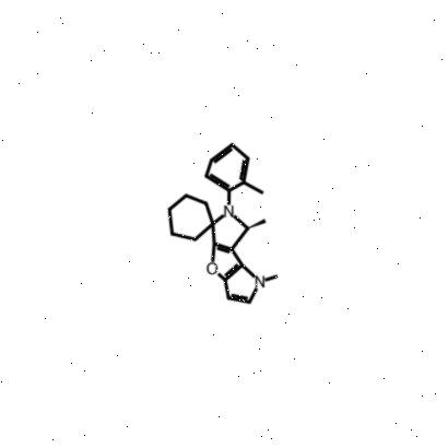 Cc1ccccc1N1[C@@H](C)c2c(oc3ccn(C)c23)C12CCCCC2